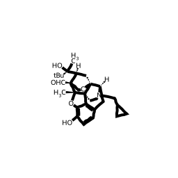 CC(C)(C)[C@@](C)(O)[C@H]1C[C@@]23CC[C@]1(C=O)[C@@]1(C)Oc4c(O)ccc5c4[C@]21CCN(CC1CC1)[C@@H]3C5